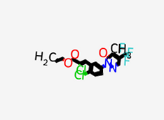 C=CCOC(=O)/C(Cl)=C/c1cc(-n2ncc(C(F)(F)F)c(C)c2=O)ccc1Cl